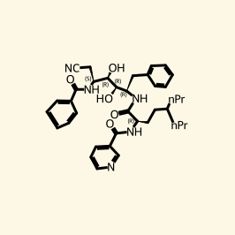 CCCC(CCC)CC[C@@H](NC(=O)c1cccnc1)C(=O)N[C@H](Cc1ccccc1)[C@@H](O)[C@H](O)[C@H](CC#N)NC(=O)c1ccccc1